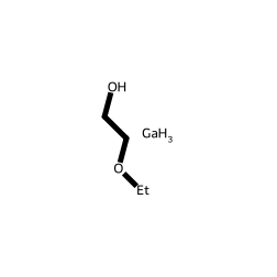 CCOCCO.[GaH3]